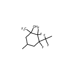 CC1CC(O)(C(F)(F)F)C(F)(F)C(F)(C(C)(F)F)C1